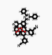 N#Cc1cccc(-c2ccc3c(c2)c2ccccc2n3-c2ccc(-c3nc(-c4ccccc4)nc(-c4ccccc4)n3)cc2-c2ccncc2-n2c3ccccc3c3cc(-c4cccc(C#N)c4)ccc32)c1